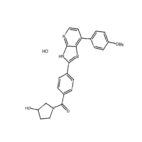 COc1ccc(-c2ccnc3[nH]c(-c4ccc(C(=O)N5CCC(O)C5)cc4)nc23)cc1.Cl